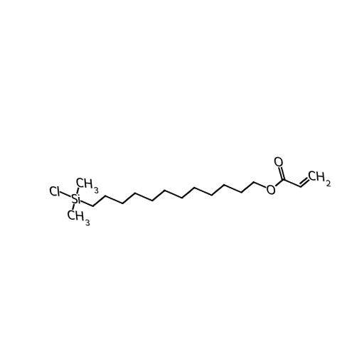 C=CC(=O)OCCCCCCCCCCCC[Si](C)(C)Cl